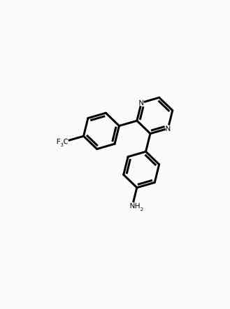 Nc1ccc(-c2nccnc2-c2ccc(C(F)(F)F)cc2)cc1